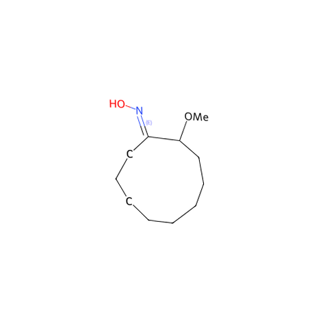 COC1CCCCCCCC/C1=N\O